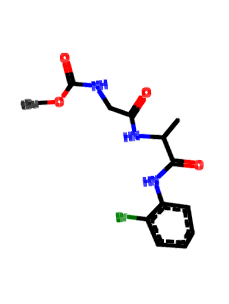 CC(NC(=O)CNC(=O)OC(C)(C)C)C(=O)Nc1ccccc1Br